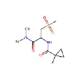 CCN(C#N)C(=O)C(CS(C)(=O)=O)NC(=O)C1(C)CC1